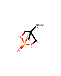 CC(=O)NC12COP(=O)(OC1)OC2